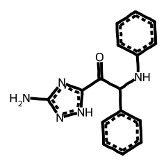 Nc1n[nH]c(C(=O)C(Nc2ccccc2)c2ccccc2)n1